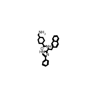 NCC1CCC(C(=O)NC(Cc2ccc3ccccc3c2)c2nc(-c3ccccc3)c[nH]2)CC1